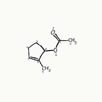 CC(=O)OC1CCC=C1C